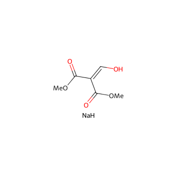 COC(=O)C(=CO)C(=O)OC.[NaH]